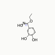 CCO/C(=N/O)c1ccc(O)c(O)c1